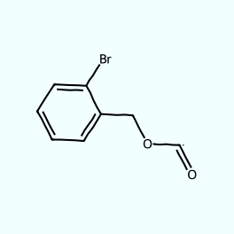 O=[C]OCc1ccccc1Br